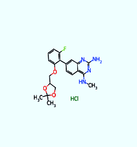 CNc1nc(N)nc2cc(-c3c(F)cccc3OCC3COC(C)(C)O3)ccc12.Cl